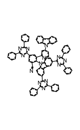 N#Cc1cc(-c2nc(-c3ccccc3)nc(-c3ccccc3)n2)cc(-c2cc(-n3c4ccccc4c4ccccc43)ccn2)c1-n1c2ccc(-c3nc(-c4ccccc4)nc(-c4ccccc4)n3)cc2c2cc(-c3nc(-c4ccccc4)nc(-c4ccccc4)n3)ccc21